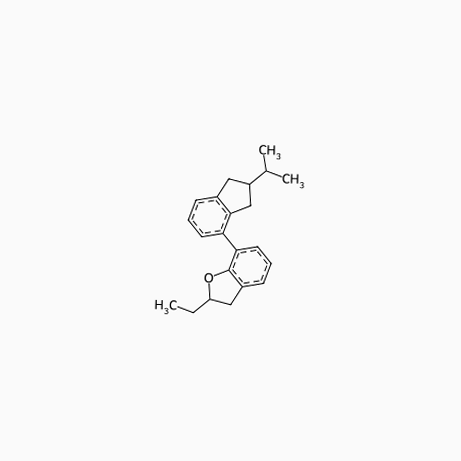 CCC1Cc2cccc(-c3cccc4c3CC(C(C)C)C4)c2O1